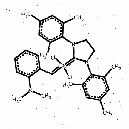 Cc1cc(C)c(N2CCN(c3c(C)cc(C)cc3C)[C]2=[Ru-4]([Cl])([Cl])=[CH]c2ccccc2N(C)C)c(C)c1